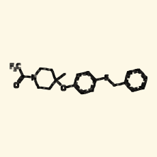 CC1(Oc2ccc(SCc3ccccc3)cc2)CCN(C(=O)C(F)(F)F)CC1